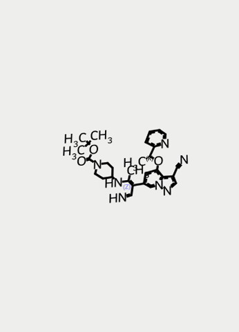 C/C(NC1CCN(C(=O)OC(C)(C)C)CC1)=C(/C=N)c1cc(O[C@H](C)c2ccccn2)c2c(C#N)cnn2c1